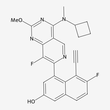 C#Cc1c(F)ccc2cc(O)cc(-c3ncc4c(N(C)C5CCC5)nc(OC)nc4c3F)c12